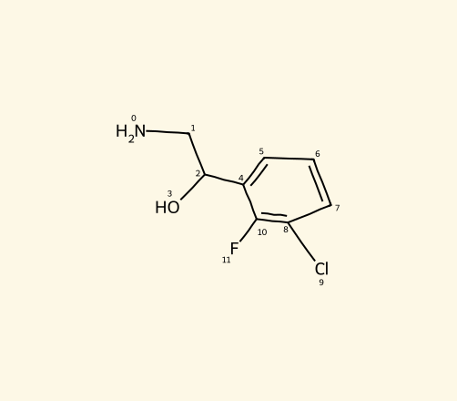 NCC(O)c1cccc(Cl)c1F